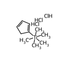 Cl.Cl.Cl.[CH3][Ti]([CH3])([CH3])([CH3])([CH3])[C]1=CC=CC1